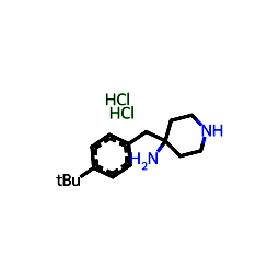 CC(C)(C)c1ccc(CC2(N)CCNCC2)cc1.Cl.Cl